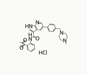 CN1CCN(Cc2ccc(-c3cnc4[nH]cc(C(=O)Nc5ccccc5S(C)(=O)=O)c4c3)cc2)CC1.Cl